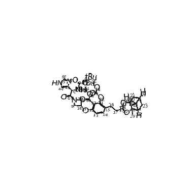 CC(C)(C)OC(=O)NC(C(=O)N1CC(Oc2ccc(CCB3O[C@@H]4C[C@@H]5C[C@@H](C5(C)C)[C@]4(C)O3)c(OC(=O)OC(C)(C)C)c2C(=O)OC(C)(C)C)C1)c1c[nH]cn1